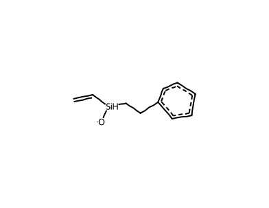 C=C[SiH]([O])CCc1ccccc1